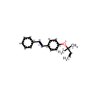 C=CC(C)(C)Oc1ccc(/C=C/c2ccccc2)cc1